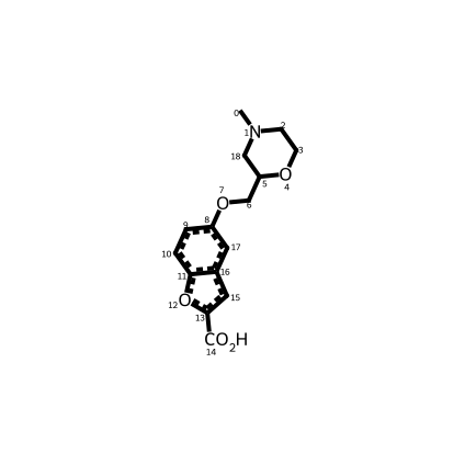 CN1CCOC(COc2ccc3oc(C(=O)O)cc3c2)C1